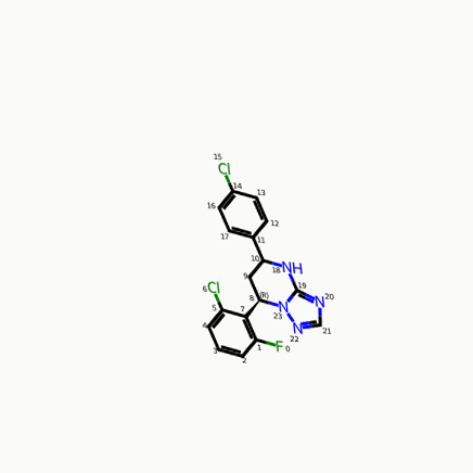 Fc1cccc(Cl)c1[C@H]1CC(c2ccc(Cl)cc2)Nc2ncnn21